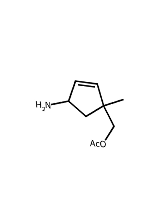 CC(=O)OCC1(C)C=CC(N)C1